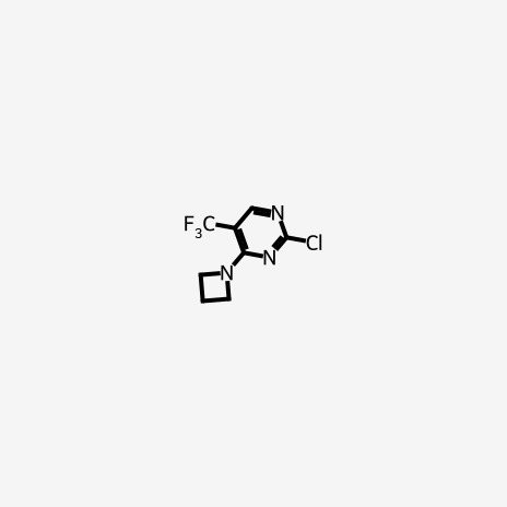 FC(F)(F)c1cnc(Cl)nc1N1CCC1